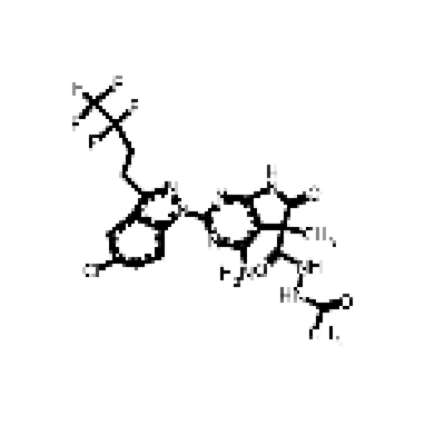 CC(=O)NNC(=O)C1(C)C(=O)Nc2nc(-n3nc(CCC(F)(F)C(F)(F)F)c4cc(Cl)ccc43)nc(N)c21